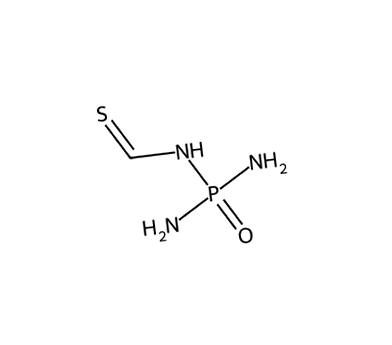 NP(N)(=O)NC=S